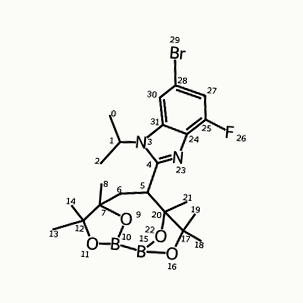 CC(C)n1c(C2CC3(C)OB(OC3(C)C)B3OC(C)(C)C2(C)O3)nc2c(F)cc(Br)cc21